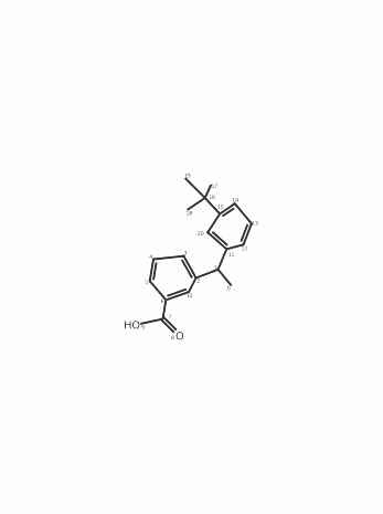 CC(c1cccc(C(=O)O)c1)c1cccc(C(C)(C)C)c1